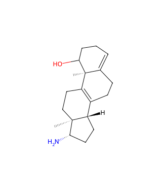 C[C@@]12C(=CCCC1O)CCC1=C2CC[C@]2(C)[C@@H](N)CC[C@@H]12